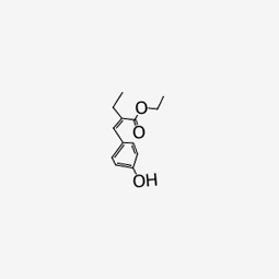 CCOC(=O)C(=Cc1ccc(O)cc1)CC